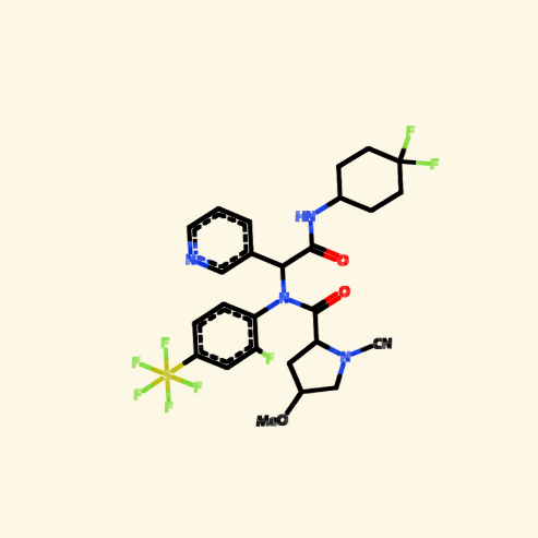 COC1CC(C(=O)N(c2ccc(S(F)(F)(F)(F)F)cc2F)C(C(=O)NC2CCC(F)(F)CC2)c2cccnc2)N(C#N)C1